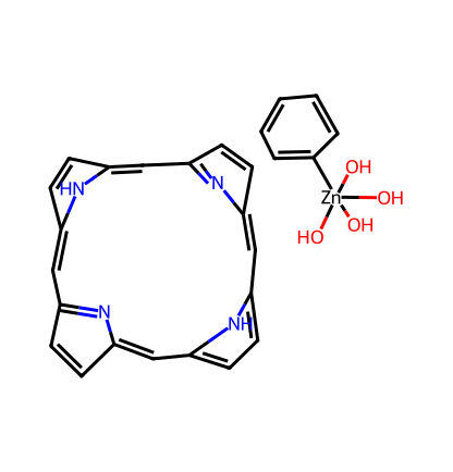 C1=Cc2cc3ccc(cc4nc(cc5ccc(cc1n2)[nH]5)C=C4)[nH]3.[OH][Zn]([OH])([OH])([OH])[c]1ccccc1